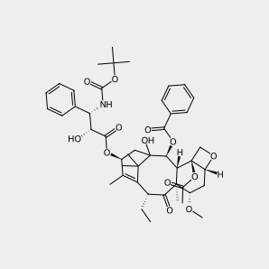 CC[C@H]1C(=O)[C@]2(C)[C@@H](OC)C[C@H]3OC[C@@]3(OC(C)=O)[C@H]2[C@H](OC(=O)c2ccccc2)C2(O)C[C@H](OC(=O)[C@H](O)[C@@H](NC(=O)OC(C)(C)C)c3ccccc3)C(C)=C1C2(C)C